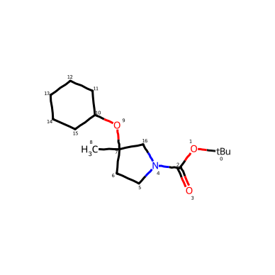 CC(C)(C)OC(=O)N1CCC(C)(OC2CCCCC2)C1